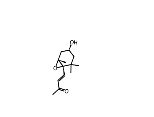 CC(=O)/C=C/[C@@]12O[C@]1(C)C[C@@H](O)CC2(C)C